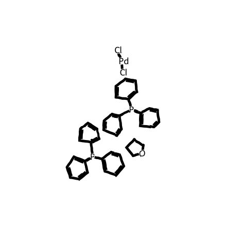 C1CCOC1.[Cl][Pd][Cl].c1ccc(P(c2ccccc2)c2ccccc2)cc1.c1ccc(P(c2ccccc2)c2ccccc2)cc1